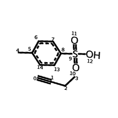 C#CCC.Cc1ccc(S(=O)(=O)O)cc1